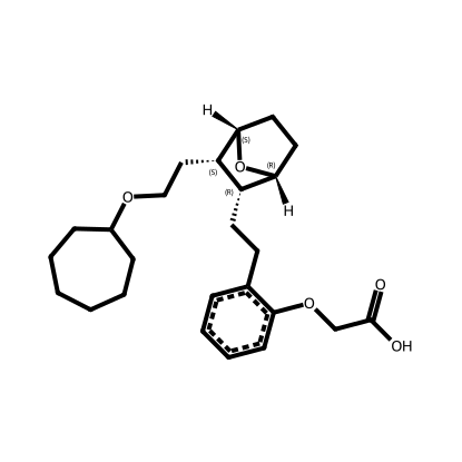 O=C(O)COc1ccccc1CC[C@@H]1[C@H](CCOC2CCCCCC2)[C@@H]2CC[C@H]1O2